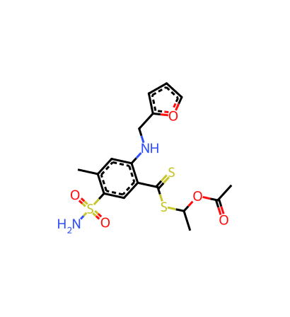 CC(=O)OC(C)SC(=S)c1cc(S(N)(=O)=O)c(C)cc1NCc1ccco1